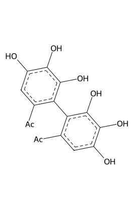 CC(=O)c1cc(O)c(O)c(O)c1-c1c(C(C)=O)cc(O)c(O)c1O